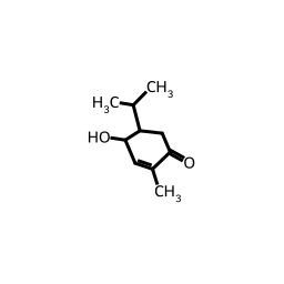 CC1=CC(O)C(C(C)C)CC1=O